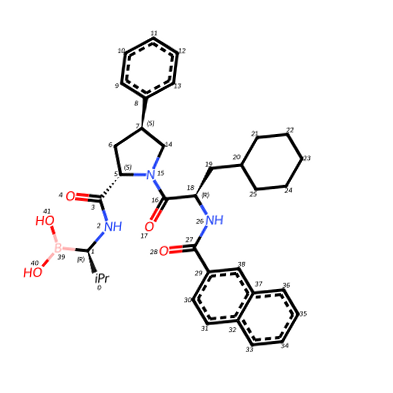 CC(C)[C@H](NC(=O)[C@@H]1C[C@@H](c2ccccc2)CN1C(=O)[C@@H](CC1CCCCC1)NC(=O)c1ccc2ccccc2c1)B(O)O